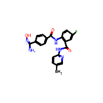 Bc1ccc(NC(=O)c2cc(F)ccc2NC(=O)c2ccc(/C(N)=N\O)cc2)nc1